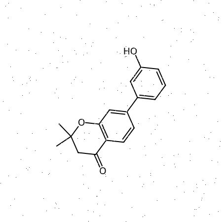 CC1(C)CC(=O)c2ccc(-c3cccc(O)c3)cc2O1